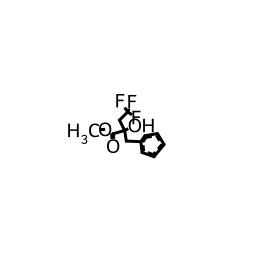 COC(=O)C(O)(Cc1ccccc1)CC(F)(F)F